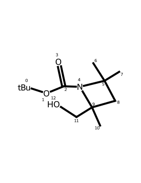 CC(C)(C)OC(=O)N1C(C)(C)CC1(C)CO